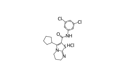 Cl.O=C(Nc1cc(Cl)cc(Cl)c1)C1=C(C2CCCC2)N2CCCN=C2S1